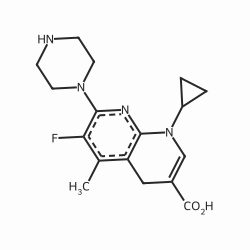 Cc1c(F)c(N2CCNCC2)nc2c1CC(C(=O)O)=CN2C1CC1